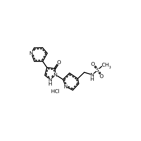 CS(=O)(=O)NCc1ccnc(-n2[nH]cc(-c3cccnc3)c2=O)c1.Cl